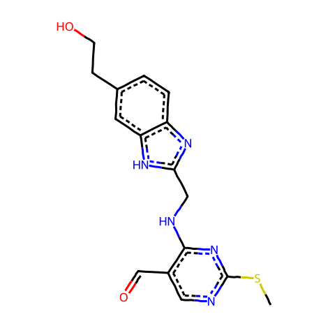 CSc1ncc(C=O)c(NCc2nc3ccc(CCO)cc3[nH]2)n1